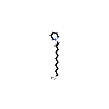 CCCCCCCCCC/C=C/N1CCCCC1